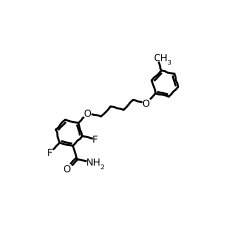 Cc1cccc(OCCCCOc2ccc(F)c(C(N)=O)c2F)c1